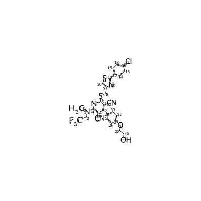 CN(CC(F)(F)F)c1nc(SCc2csc(-c3ccc(Cl)cc3)n2)c(C#N)c(-c2ccc(OCCO)cc2)c1C#N